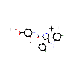 COC(=O)c1ccc(NC(=O)[C@@H]2N[C@@H](CC(C)(C)C)[C@@]3(C(=O)Nc4cc(Cl)ccc43)[C@H]2c2cccc(Cl)c2)c(OC)c1